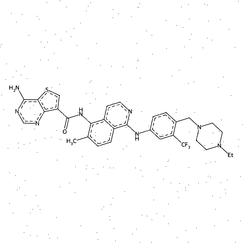 CCN1CCN(Cc2ccc(Nc3nccc4c(NC(=O)c5csc6c(N)ncnc56)c(C)ccc34)cc2C(F)(F)F)CC1